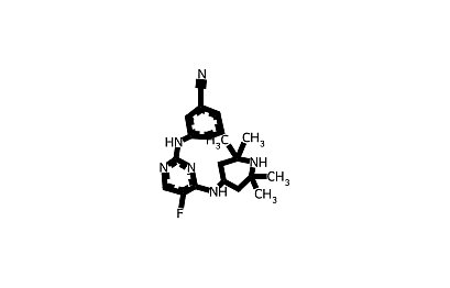 CC1(C)CC(Nc2nc(Nc3cccc(C#N)c3)ncc2F)CC(C)(C)N1